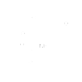 COC(=O)NC(C(=O)OC)C1COC1